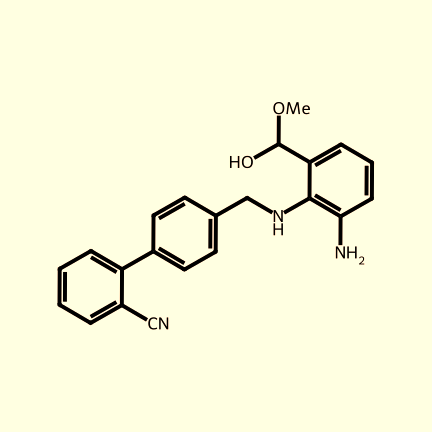 COC(O)c1cccc(N)c1NCc1ccc(-c2ccccc2C#N)cc1